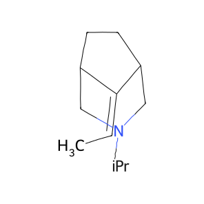 CC=C1C2CCC1CN(C(C)C)C2